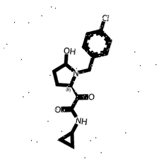 O=C(NC1CC1)C(=O)[C@H]1CCC(O)N1Cc1ccc(Cl)cc1